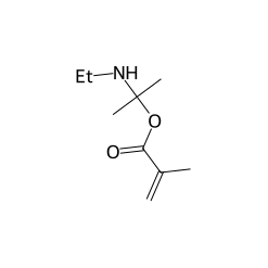 C=C(C)C(=O)OC(C)(C)NCC